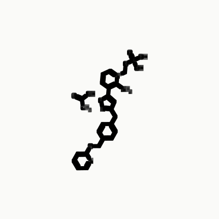 CC(=O)O.Nc1c(-c2cc(Cc3ccc(COc4ccccn4)cc3)no2)ccc[n+]1COP(=O)(O)O